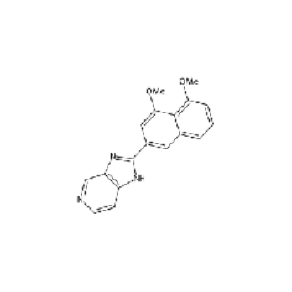 COc1cccc2cc(-c3nc4cnccc4[nH]3)cc(OC)c12